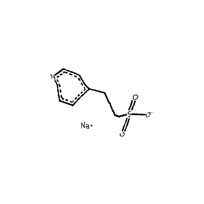 O=S(=O)([O-])CCc1ccncc1.[Na+]